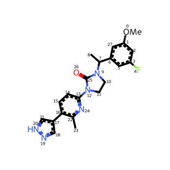 COc1cc(F)cc(C(C)N2CCN(c3ccc(-c4cn[nH]c4)c(C)n3)C2=O)c1